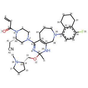 C=CC(=O)N1CCN(C2=NC(C)(OC[C@@H]3CCCN3C)NC3=C2CCCN(c2ccc(F)c4c2CCCC4)C3)C[C@@H]1CC#N